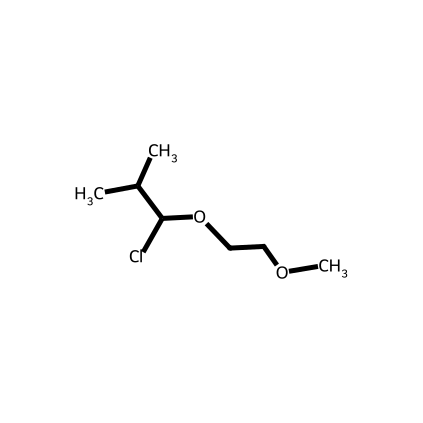 COCCOC(Cl)C(C)C